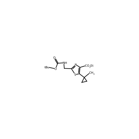 CCOC(=O)c1nc(CNC(=O)OC(C)(C)C)sc1C1(C)CC1